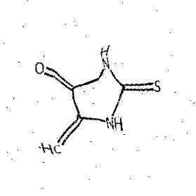 [CH]=C1NC(=S)NC1=O